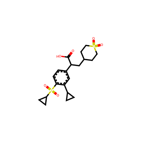 O=C(O)C(CC1CCS(=O)(=O)CC1)c1ccc(S(=O)(=O)C2CC2)c(C2CC2)c1